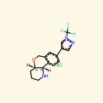 Cl.FC(F)(F)n1cc(-c2ccc3c(c2)CO[C@H]2CCCN[C@@H]32)cn1